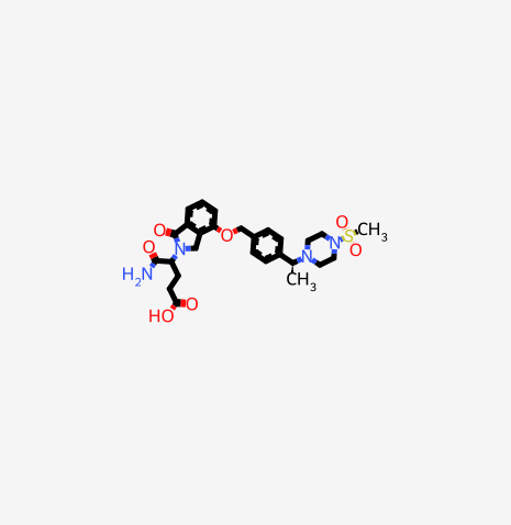 C[C@H](c1ccc(COc2cccc3c2CN(C(CCC(=O)O)C(N)=O)C3=O)cc1)N1CCN(S(C)(=O)=O)CC1